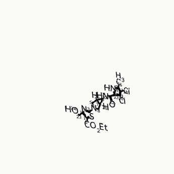 CCOC(=O)c1sc(N2C[C@@H]3[C@H](C2)[C@@H]3NC(=O)c2[nH]c(C)c(Cl)c2Cl)nc1CO